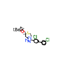 CC1(CO[Si](C)(C)C(C)(C)C)Cc2nnc(-c3ccc(-c4cccc(Cl)c4)cc3Cl)n2CCS1